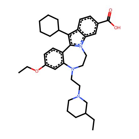 CCOc1ccc2c(c1)N(CCN1CCCC(CC)C1)CCn1c-2c(C2CCCCC2)c2ccc(C(=O)O)cc21